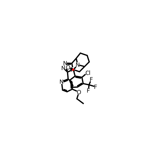 CCOc1ccnc(-c2nnc3n2CC2CCCC3N2C(=O)c2cccc(C(F)(F)F)c2Cl)c1